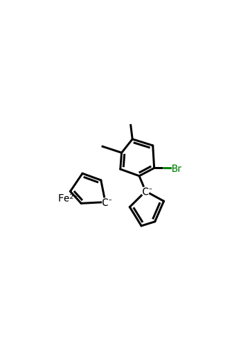 Cc1cc(Br)c(-[c-]2cccc2)cc1C.[Fe+2].c1cc[cH-]c1